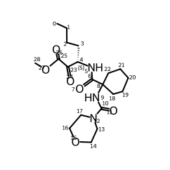 CCCC[C@H](NC(=O)C1(NC(=O)N2CCOCC2)CCCCC1)C(=O)C(=O)OC